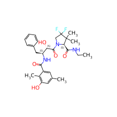 CCNC(=O)[C@H]1N(C(=O)[C@@H](O)[C@H](Cc2ccccc2)NC(=O)c2cc(C)cc(O)c2C)CC(F)(F)C1(C)C